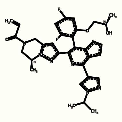 C=CC(=O)N1Cc2cc(-c3nc(-c4cnn(C(C)C)c4)c4ccsc4c3-c3c(F)cc(F)cc3OC[C@@H](C)O)nn2[C@@H](C)C1